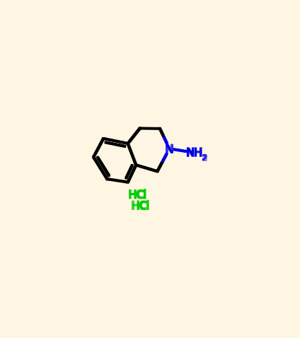 Cl.Cl.NN1CCc2ccccc2C1